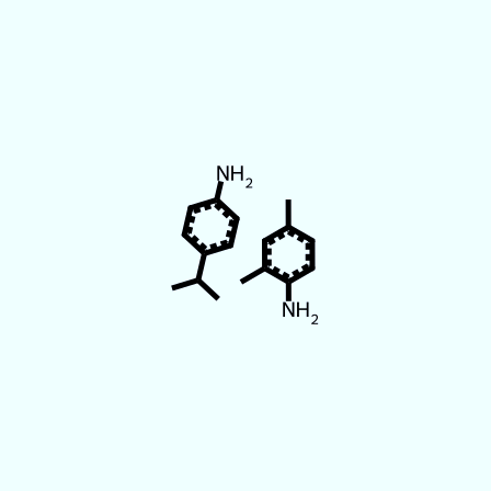 CC(C)c1ccc(N)cc1.Cc1ccc(N)c(C)c1